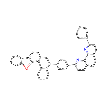 c1ccc(-c2ccc3ccc4ccc(-c5ccc(-c6cc7ccc8c9ccccc9oc8c7c7ccccc67)cc5)nc4c3n2)cc1